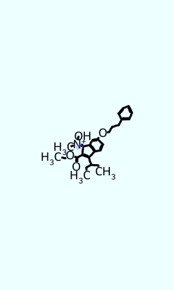 CCOC(=O)C1=C(C(CC)CC)c2ccc(OCCCc3ccccc3)cc2/C1=[N+](/C)O